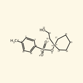 Cc1ccc(S(=O)(=O)O[N+]2(CCO)CCCCC2)cc1